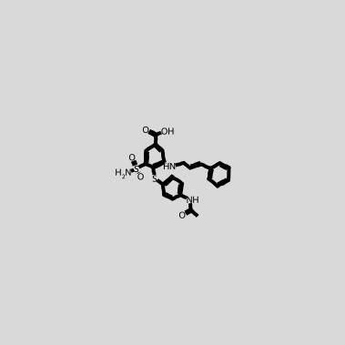 CC(=O)Nc1ccc(Sc2c(NCC=Cc3ccccc3)cc(C(=O)O)cc2S(N)(=O)=O)cc1